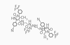 CC1=C(C(=O)NCCCNC(=NC(=O)C(F)(F)F)NCCCNC(=O)C2=C(C)N(c3cccc(C(F)(F)F)c3)C(=O)N[C@@H]2c2ccc(C#N)cc2)[C@@H](c2ccc(C#N)cc2)NC(=O)N1c1cccc(C(F)(F)F)c1